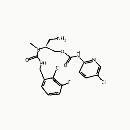 CN(C(=O)NCc1cccc(F)c1Cl)[C@@H](CN)COC(=O)Nc1ccc(Cl)cn1